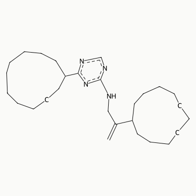 C=C(CNc1ncnc(C2CCCCCCCCCC2)n1)C1CCCCCCCCCC1